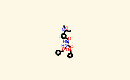 CCc1oc(C)nc1-c1cc(F)cc(C(=O)NC[C@@H](NC(=O)OCc2ccccc2)C(=O)OCc2ccccc2)c1